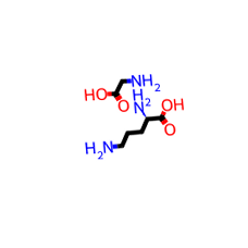 NCC(=O)O.NCCC[C@H](N)C(=O)O